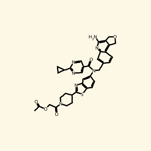 CC(=O)OCC(=O)N1CCC(c2nc3cc(N(Cc4ccc5c6c(c(N)nc5c4)COC6)C(=O)c4cnc(C5CC5)nc4)ccc3s2)CC1